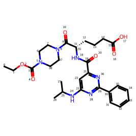 CCOC(=O)N1CCN(C(=O)[C@H](CCCC(=O)O)NC(=O)c2cc(NC(C)C)nc(-c3ccccc3)n2)CC1